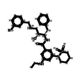 CCNc1cc(C(=O)N[C@@H](Cc2ccccc2)[C@H](O)CNCc2cccc(Br)c2)cc(N2CCCCS2(=O)=O)c1